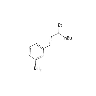 Bc1cccc(/C=C/C(CC)CCCC)c1